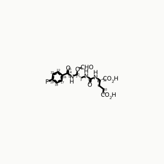 O=CO[C@H](CNC(=O)N[C@@H](CCC(=O)O)C(=O)O)NC(=O)c1ccc(F)cc1